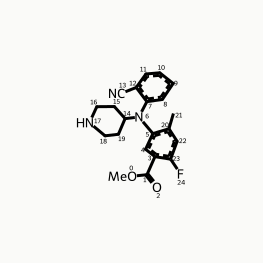 COC(=O)c1cc(N(c2ccccc2C#N)C2CCNCC2)c(C)cc1F